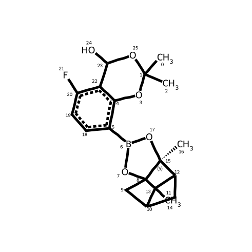 CC1(C)Oc2c(B3OC45CC6CC(C64C)[C@]5(C)O3)ccc(F)c2C(O)O1